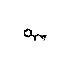 C=C(CC1CO1)c1ccccc1